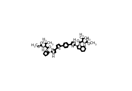 COC(=O)N[C@H](C(=O)N1C2CCC(C2)[C@H]1c1nc(-c2ccc(-c3ccc(-c4c[nH]c([C@@H]5CC6CCCCC6N5C(=O)[C@@H](NC(=O)OC)C(C)C)n4)cc3)s2)c[nH]1)C(C)C